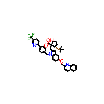 CC(C)(C)Sc1c(CC2(C(=O)O)CCCC2)n(Cc2ccc(-c3ccc(C(F)(F)F)cn3)cc2)c2ccc(OCc3ccc4ccccc4n3)cc12